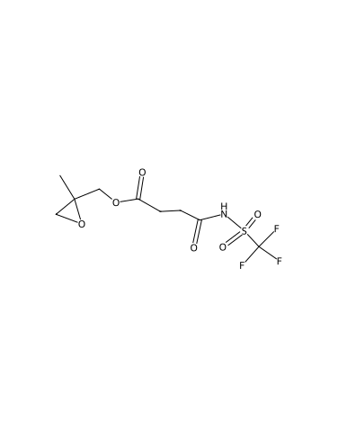 CC1(COC(=O)CCC(=O)NS(=O)(=O)C(F)(F)F)CO1